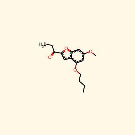 BCC(=O)c1cc2c(OCCCC)cc(OC)cc2o1